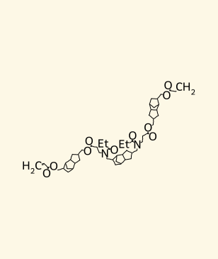 C=CC(=O)OCC1CC2CC1C1CC(COC(=O)CCN(CC3CC4C5CC(CN(CCC(=O)OCC6CC7C8CC(COC(=O)C=C)C(C8)C7C6)C(=O)CC)C(C5)C4C3)C(=O)CC)CC21